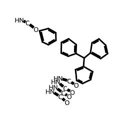 N=C=O.N=C=O.N=C=O.N=C=O.N=C=O.c1ccc(C(c2ccccc2)c2ccccc2)cc1.c1ccccc1